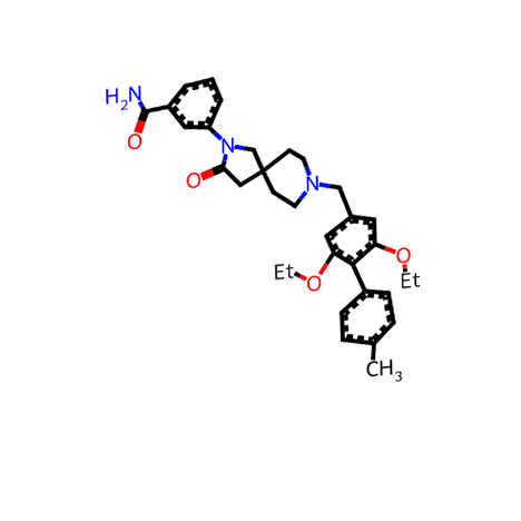 CCOc1cc(CN2CCC3(CC2)CC(=O)N(c2cccc(C(N)=O)c2)C3)cc(OCC)c1-c1ccc(C)cc1